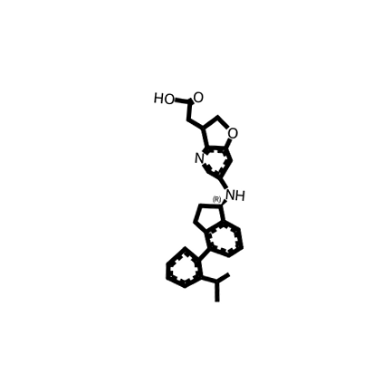 CC(C)c1ccccc1-c1cccc2c1CC[C@H]2Nc1cnc2c(c1)OCC2CC(=O)O